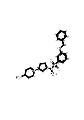 CC1CCN([C@H]2CC[C@@H](N(C)S(=O)(=O)c3cccc(OCc4ccccc4)c3)C2)CC1